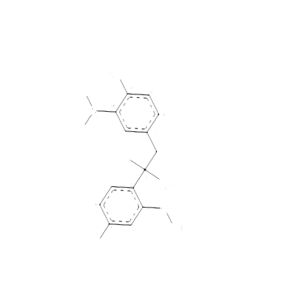 COc1cc(F)ccc1C(C)(C)Cc1ccc(C)c(N(C)C)c1